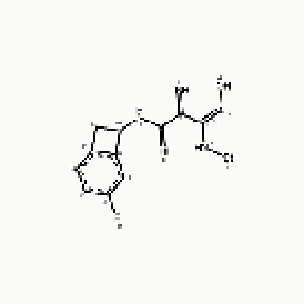 CCN/C(=N/O)C(=N)C(=N)NC1Cc2ccc(F)cc21